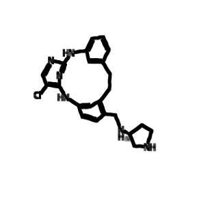 Clc1cnc2nc1Nc1ccc(CN[C@H]3CCNC3)c(c1)CCc1cccc(c1)N2